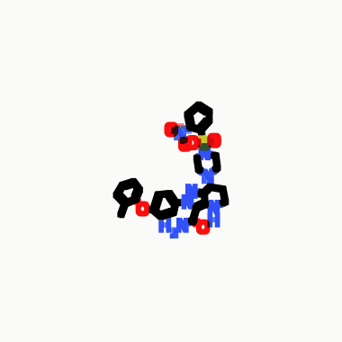 Cc1ccccc1Oc1ccc(-n2nc3c(c2C(N)=O)NCC[C@H]3N2CCN(S(=O)(=O)c3ccccc3[N+](=O)[O-])CC2)cc1